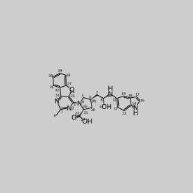 Cc1nc(N2C[C@@H](CC(O)Nc3ccc4[nH]ccc4c3)C[C@H]2C(=O)O)c2oc3ccccc3c2n1